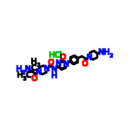 CC(C)(N)C(=O)N1CCN(C(=O)Nc2ccn(-c3ccc(CC(=O)N4CCC(N)CC4)cc3)c(=O)n2)CC1.Cl